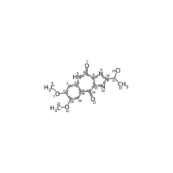 COc1cc2[nH]c(=O)c3nn(C(C)Cl)nc3c(=O)c2cc1OC